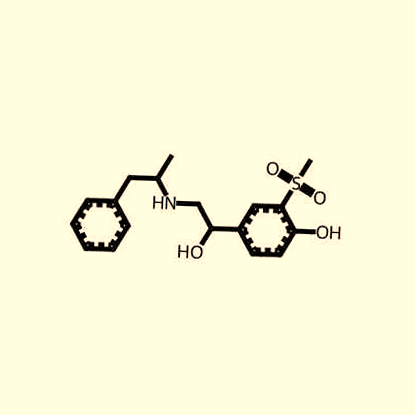 CC(Cc1ccccc1)NCC(O)c1ccc(O)c(S(C)(=O)=O)c1